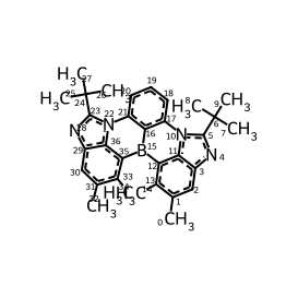 Cc1cc2nc(C(C)(C)C)n3c2c(c1C)B1c2c-3cccc2-n2c(C(C)(C)C)nc3cc(C)c(C)c1c32